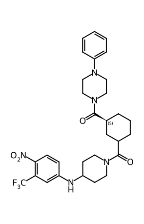 O=C(C1CCC[C@H](C(=O)N2CCN(c3ccccc3)CC2)C1)N1CCC(Nc2ccc([N+](=O)[O-])c(C(F)(F)F)c2)CC1